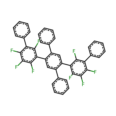 Fc1c(F)c(-c2ccccc2)c(F)c(-c2cc(-c3ccccc3)c(-c3c(F)c(F)c(F)c(-c4ccccc4)c3F)cc2-c2ccccc2)c1F